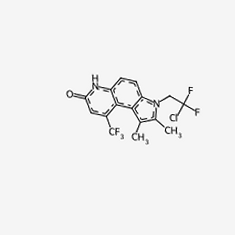 Cc1c(C)n(CC(F)(F)Cl)c2ccc3[nH]c(=O)cc(C(F)(F)F)c3c12